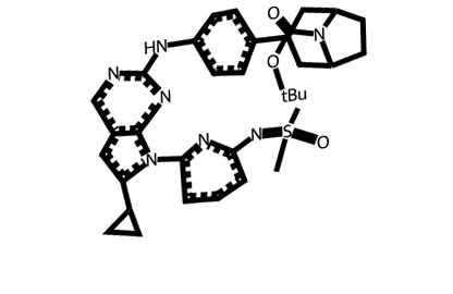 CC(C)(C)OC(=O)N1C2CCC1CC(c1ccc(Nc3ncc4cc(C5CC5)n(-c5cccc(N=S(C)(C)=O)n5)c4n3)cc1)C2